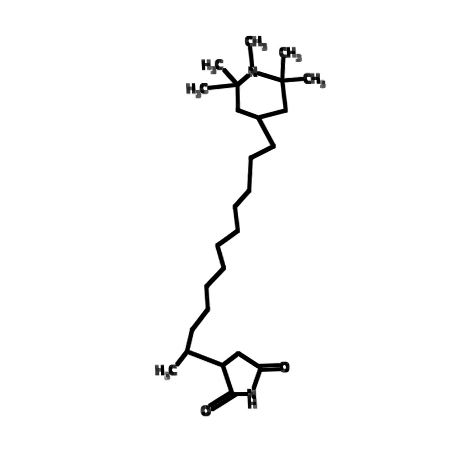 CC(CCCCCCCCCCC1CC(C)(C)N(C)C(C)(C)C1)C1CC(=O)NC1=O